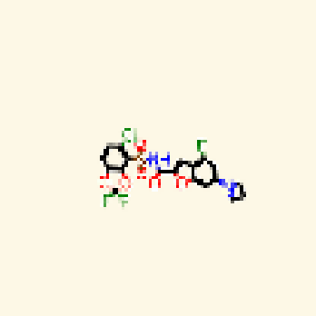 O=C(NS(=O)(=O)c1c(Cl)ccc2c1OC(F)(F)O2)c1cc2c(F)cc(N3CCC3)cc2o1